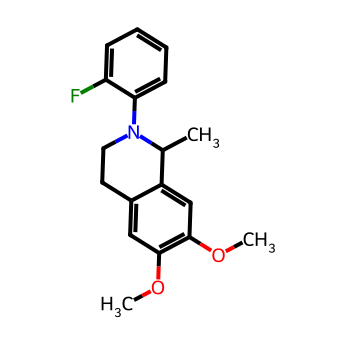 COc1cc2c(cc1OC)C(C)N(c1ccccc1F)CC2